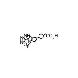 C[C@@H]1CN(c2ccc(C3CCC(CC(=O)O)CC3)cc2F)C(=O)c2c(N)ncnc2O1